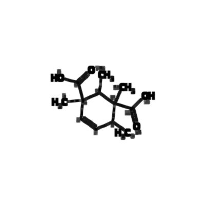 CC1C=CC(C)(C(=O)O)C(C)C1(C)C(=O)O